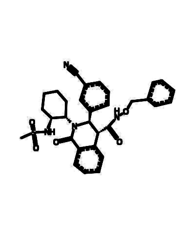 CS(=O)(=O)N[C@H]1CCCC[C@@H]1N1C(=O)c2ccccc2[C@@H](C(=O)NOCc2ccccc2)[C@@H]1c1cccc(C#N)c1